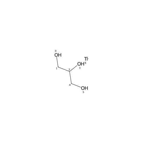 OCC(O)CO.[Tl]